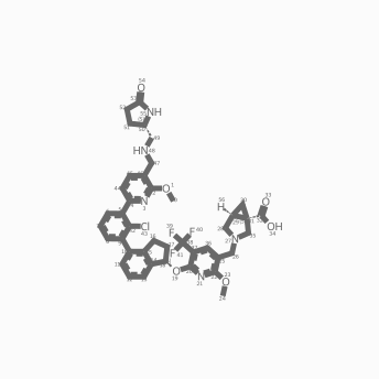 COc1nc(-c2cccc(-c3cccc4c3CC[C@@H]4Oc3nc(OC)c(CN4C[C@H]5C[C@@]5(C(=O)O)C4)cc3C(F)(F)F)c2Cl)ccc1CNC[C@@H]1CCC(=O)N1